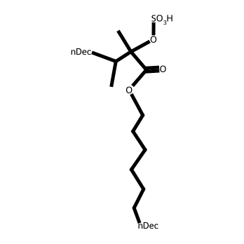 CCCCCCCCCCCCCCCCOC(=O)C(C)(OS(=O)(=O)O)C(C)CCCCCCCCCC